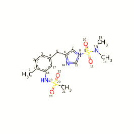 Cc1ccc(Cc2cn(S(=O)(=O)N(C)C)cn2)cc1NS(C)(=O)=O